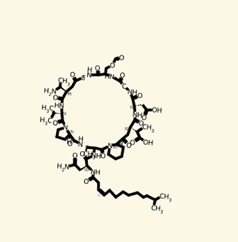 CC(C)CCCCCCC/C=C\CC(=O)N[C@@H](CC(N)=O)C(=O)NC1C(=O)N2CCCC[C@@H]2C(=O)C[C@@H](C(C)C(=O)O)C(=O)N[C@@H](CC(=O)O)C(=O)NCC(=O)NC(COC=O)C(=O)NCC(=O)C[C@H](C(C)N)C(=O)N[C@@H](C(C)C)C(=O)N2CCC[C@H]2C(=O)N[C@@H]1C